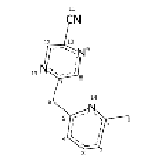 Cc1cccc(Cc2cnc(C#N)cn2)n1